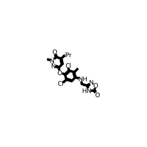 Cc1c(NCc2noc(=O)[nH]2)cc(Cl)c(Oc2cc(C(C)C)c(=O)n(C)n2)c1Cl